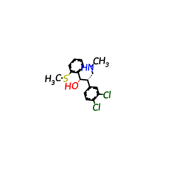 CNC[C@H](c1ccc(Cl)c(Cl)c1)[C@H](O)c1ccccc1SC